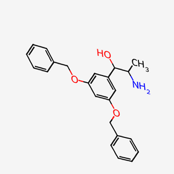 CC(N)C(O)c1cc(OCc2ccccc2)cc(OCc2ccccc2)c1